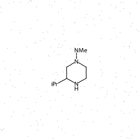 CNN1CCNC(C(C)C)C1